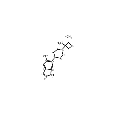 C[C@@H]1OCC1(C)N1CCN(c2cc3[nH]ncc3cc2Cl)CC1